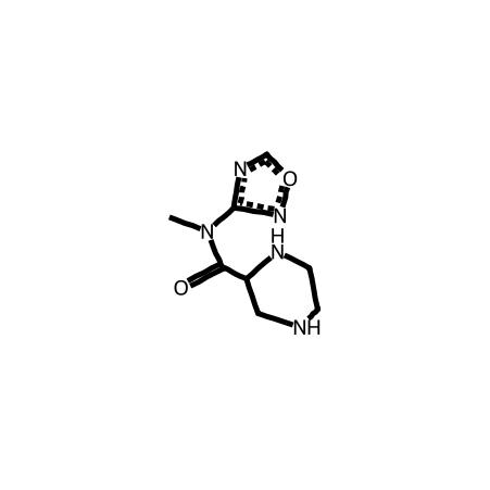 CN(C(=O)C1CNCCN1)c1ncon1